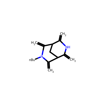 C=C1NC(=C)C2CC1C(=C)N(CCCC)C2=C